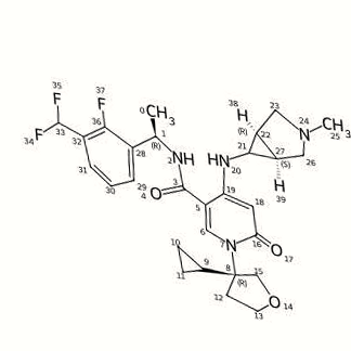 C[C@@H](NC(=O)c1cn([C@@]2(C3CC3)CCOC2)c(=O)cc1NC1[C@H]2CN(C)C[C@@H]12)c1cccc(C(F)F)c1F